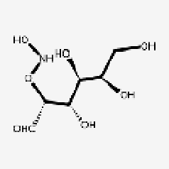 O=C[C@H](ONO)[C@@H](O)[C@@H](O)[C@H](O)CO